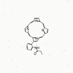 CCC(=O)Nc1ccccc1C1=CC2=CC3=NC(=CC4=NC(=CC5=NC(=CC1=N2)C=C5)C=C4)C=C3